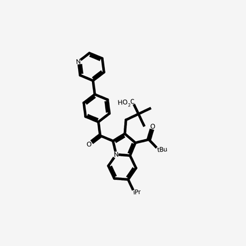 CC(C)c1ccn2c(C(=O)c3ccc(-c4cccnc4)cc3)c(CC(C)(C)C(=O)O)c(C(=O)C(C)(C)C)c2c1